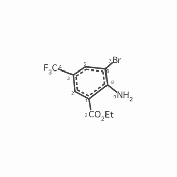 CCOC(=O)c1cc(C(F)(F)F)cc(Br)c1N